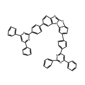 c1ccc(-c2cc(-c3ccc(-c4ccc5oc6nc7ccc(-c8ccc(-c9nc(-c%10ccccc%10)cc(-c%10ccccc%10)n9)cc8)cc7n6c5c4)cc3)nc(-c3ccccc3)n2)cc1